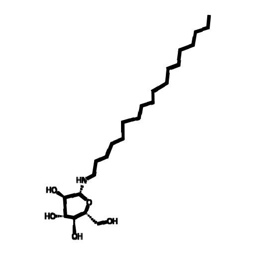 CCCCCCCCCCCCCCCCCCN[C@@H]1O[C@H](CO)[C@@H](O)[C@H](O)[C@H]1O